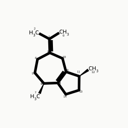 CC(C)=C1CC[C@H](C)C2=C(C1)[C@@H](C)CC2